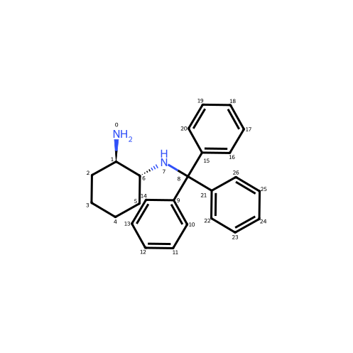 N[C@@H]1CCCC[C@H]1NC(c1ccccc1)(c1ccccc1)c1ccccc1